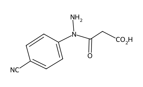 N#Cc1ccc(N(N)C(=O)CC(=O)O)cc1